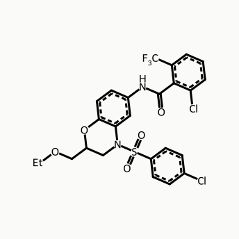 CCOCC1CN(S(=O)(=O)c2ccc(Cl)cc2)c2cc(NC(=O)c3c(Cl)cccc3C(F)(F)F)ccc2O1